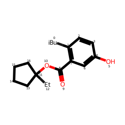 CCC(C)c1ccc(O)cc1C(=O)OC1(CC)CCCC1